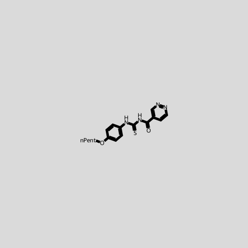 CCCCCOc1ccc(NC(=S)NC(=O)c2ccnnc2)cc1